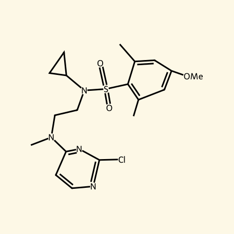 COc1cc(C)c(S(=O)(=O)N(CCN(C)c2ccnc(Cl)n2)C2CC2)c(C)c1